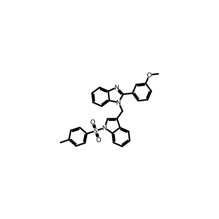 COc1cccc(-c2nc3ccccc3n2Cc2cn(S(=O)(=O)c3ccc(C)cc3)c3ccccc23)c1